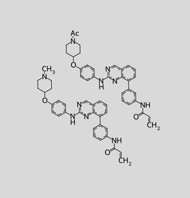 C=CC(=O)Nc1cccc(-c2cccc3cnc(Nc4ccc(OC5CCN(C(C)=O)CC5)cc4)nc23)c1.C=CC(=O)Nc1cccc(-c2cccc3cnc(Nc4ccc(OC5CCN(C)CC5)cc4)nc23)c1